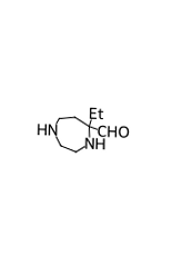 CCC1(C=O)CCNCCN1